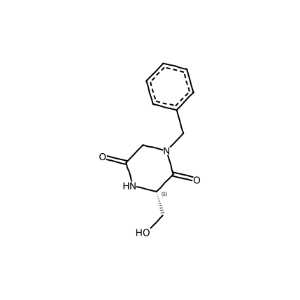 O=C1CN(Cc2ccccc2)C(=O)[C@H](CO)N1